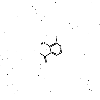 Cc1c(F)cccc1C(=O)F